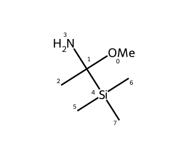 COC(C)(N)[Si](C)(C)C